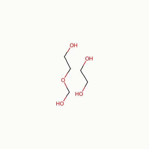 OCCO.OCCOCO